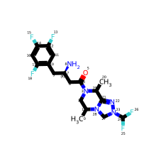 CC1CN(C(=O)C[C@H](N)Cc2cc(F)c(F)cc2F)C(C)C2=NN(C(F)F)CN21